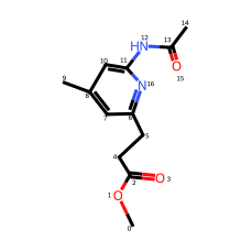 COC(=O)CCc1cc(C)cc(NC(C)=O)n1